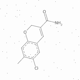 Cc1cc2c(cc1Cl)C=C(C(N)=O)CO2